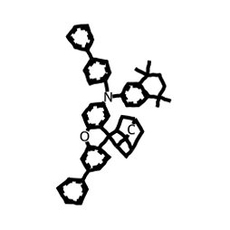 CC1(C)CCC(C)(C)c2cc(N(c3ccc(-c4ccccc4)cc3)c3ccc4c(c3)C3(c5ccc(-c6ccccc6)cc5O4)C4CC5CC6CC3C64C5)ccc21